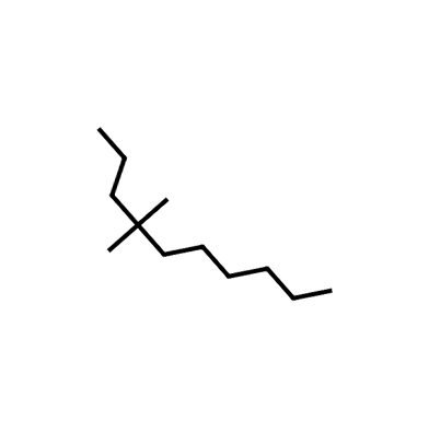 CCCCCCC(C)(C)CCC